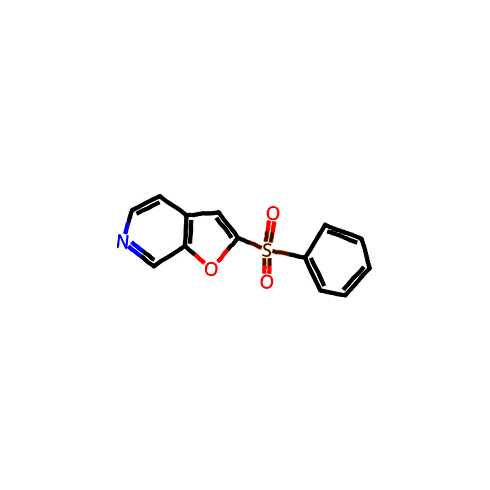 O=S(=O)(c1ccccc1)c1cc2ccncc2o1